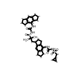 CC(C)(CC1CCc2c1cc1c(c2NC(=O)NS(=O)(=O)CC2CC2)CCC1)[S+]([O-])NC(=O)Nc1c2c(cc3c1CCC3)CCC2